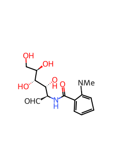 CNc1ccccc1C(=O)N[C@@H](C=O)[C@@H](O)[C@H](O)[C@H](O)CO